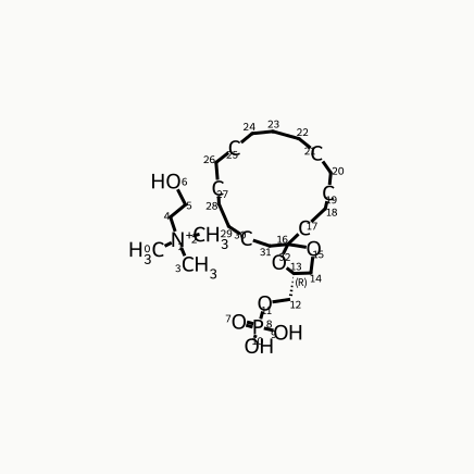 C[N+](C)(C)CCO.O=P(O)(O)OC[C@H]1COC2(CCCCCCCCCCCCCCC2)O1